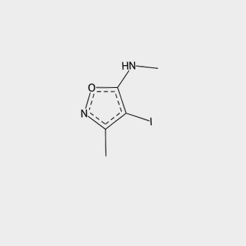 CNc1onc(C)c1I